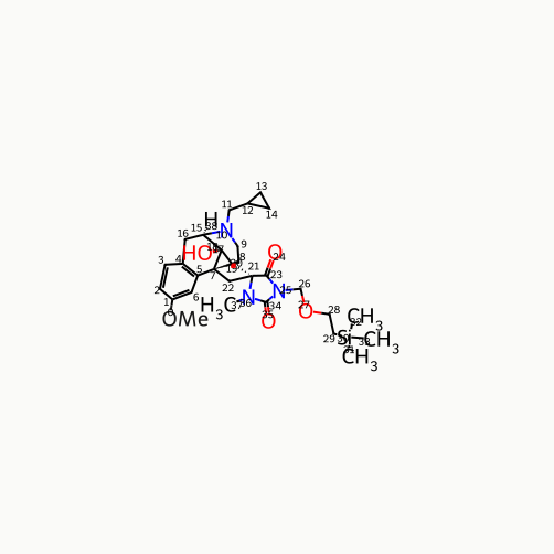 COc1ccc2c(c1)[C@]13CCN(CC4CC4)[C@H](C2)[C@]1(O)CC[C@]1(C3)C(=O)N(COCC[Si](C)(C)C)C(=O)N1C